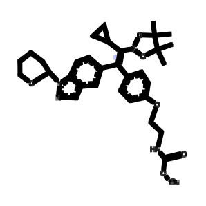 CC(C)(C)OC(=O)NCCOc1ccc(/C(=C(\B2OC(C)(C)C(C)(C)O2)C2CC2)c2ccc3c(cnn3C3CCCCO3)c2)cc1